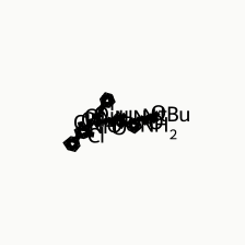 CN(CC(=O)NC[C@H](NC(=O)c1c(Cl)cc(-c2ccccc2)cc1Cl)C(=O)OCc1ccccc1)C(=O)c1cccc(N/C(N)=N/C(=O)OC(C)(C)C)c1